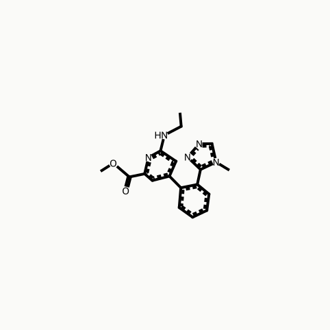 CCNc1cc(-c2ccccc2-c2nncn2C)cc(C(=O)OC)n1